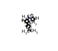 C/C(=C1/CCCNC1=O)c1cc(F)cc(-c2ccc(N(C)C)cc2)c1C